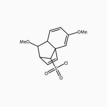 COC1=CC23C=CC(C(OC)C2C=C1)C3S(=O)(=O)Cl